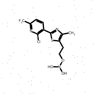 Cc1nc(-c2ccc(C(F)(F)F)nc2Cl)sc1CCON(O)O